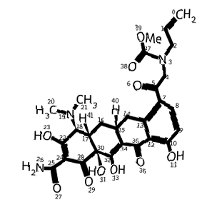 C=CCN(CC(=O)c1ccc(O)c2c1C[C@H]1C[C@H]3[C@H](N(C)C)C(O)=C(C(N)=O)C(=O)[C@@]3(O)C(O)=C1C2=O)C(=O)OC